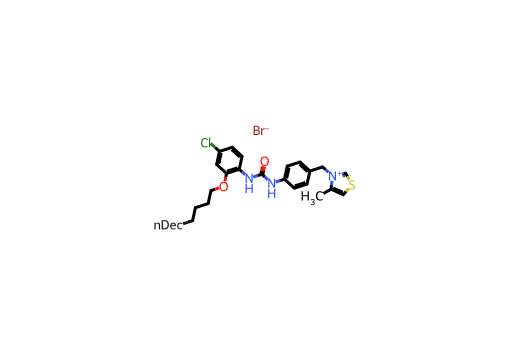 CCCCCCCCCCCCCCOc1cc(Cl)ccc1NC(=O)Nc1ccc(C[n+]2cscc2C)cc1.[Br-]